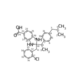 CC(C)Cc1ccc(C(C)C2(Cc3ccccc3Cl)Nc3ccc(C(=O)O)cc3N2)cc1